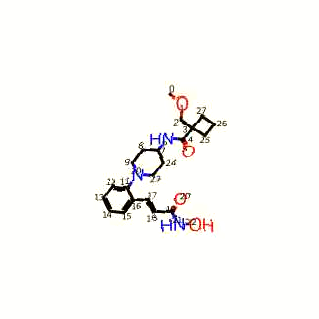 COCC1(C(=O)NC2CCN(c3ccccc3C=CC(=O)NO)CC2)CCC1